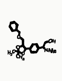 CNC(CO)c1ccc(C2OC(C)(C)OC2COCc2ccccc2)cc1